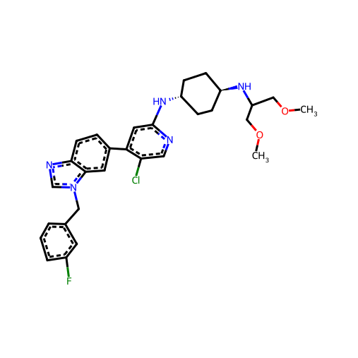 COCC(COC)N[C@H]1CC[C@H](Nc2cc(-c3ccc4ncn(Cc5cccc(F)c5)c4c3)c(Cl)cn2)CC1